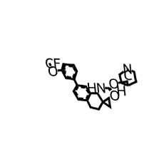 O=C(NC1c2cc(-c3cccc(OC(F)(F)F)c3)ccc2CCC12CC2)O[C@H]1CN2CCC1CC2